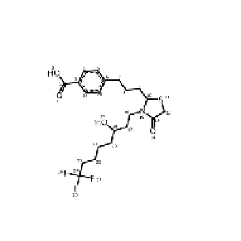 O=C(O)c1ccc(CCCC2SCC(=O)N2CCC(O)CCCCC(F)(F)F)cc1